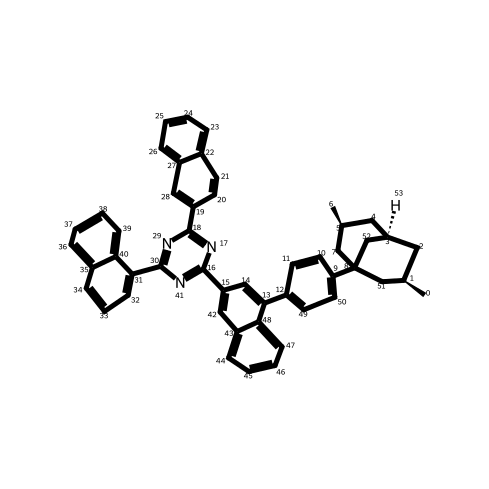 C[C@@H]1C[C@@H]2C[C@H](C)CC(c3ccc(-c4cc(-c5nc(-c6ccc7ccccc7c6)nc(-c6cccc7ccccc67)n5)cc5ccccc45)cc3)(C1)C2